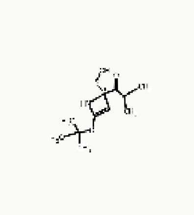 CC(C)C(=O)[C@@]1(CO)C=C(OC(C)(C)C)N1